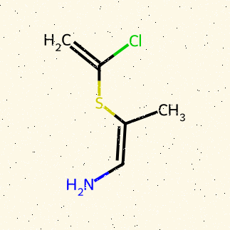 C=C(Cl)S/C(C)=C\N